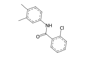 Cc1ccc(NC(=O)c2ccccc2Cl)cc1C